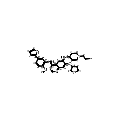 C=CCN1CCC(Nc2cc3c(Nc4cc(-c5ccco5)ccc4OC)ncnc3cc2OC2CCOC2)CC1